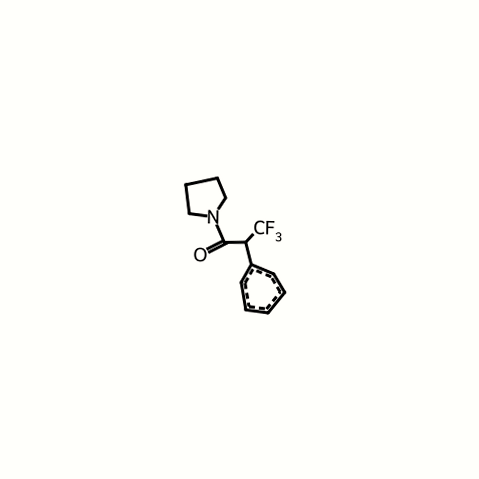 O=C(C(c1ccccc1)C(F)(F)F)N1CCCC1